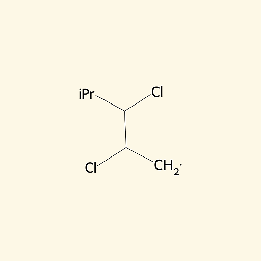 [CH2]C(Cl)C(Cl)C(C)C